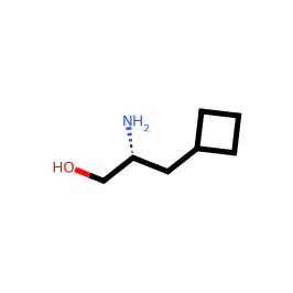 N[C@@H](CO)CC1CCC1